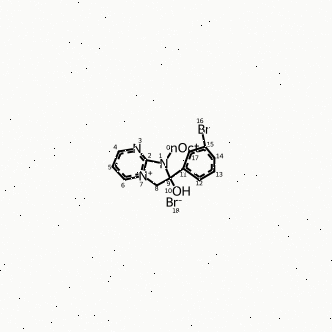 CCCCCCCCN1c2nccc[n+]2CC1(O)c1cccc(Br)c1.[Br-]